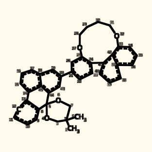 CC1(C)COC2(OC1)c1ccccc1-c1cccc3cc(-c4ccc5c(c4)OCCCCOc4cccc6cccc-5c46)cc2c13